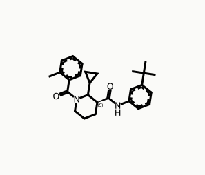 Cc1ccccc1C(=O)N1CCC[C@H](C(=O)Nc2cccc(C(C)(C)C)c2)C1C1CC1